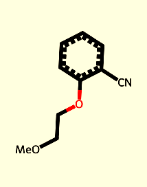 COCCOc1ccccc1C#N